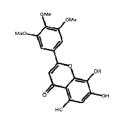 COc1cc(-c2cc(=O)c3c(O)cc(O)c(O)c3o2)cc(OC)c1OC